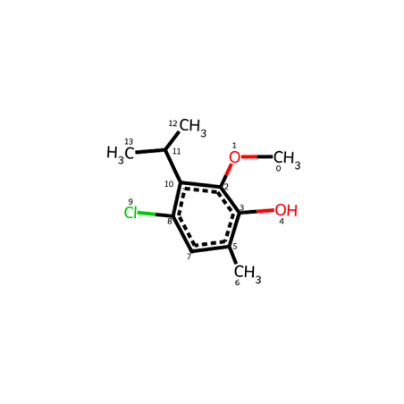 COc1c(O)c(C)cc(Cl)c1C(C)C